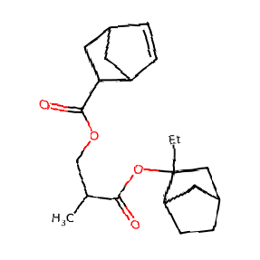 CCC1(OC(=O)C(C)COC(=O)C2CC3C=CC2C3)CC2CCC1C2